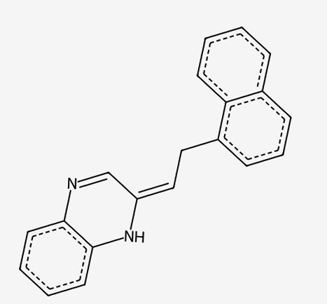 C1=Nc2ccccc2N/C1=C/Cc1cccc2ccccc12